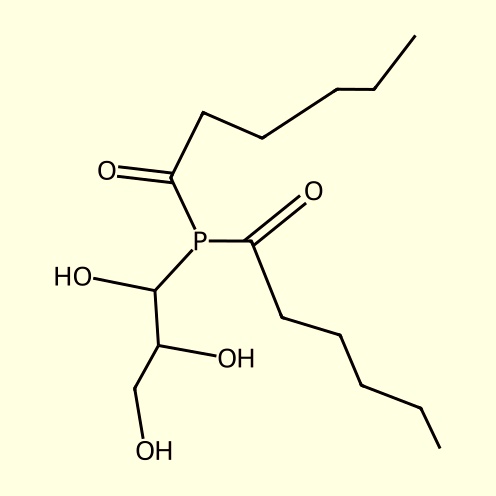 CCCCCC(=O)P(C(=O)CCCCC)C(O)C(O)CO